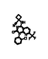 N#CC1(Nc2nc(=O)n(-c3ccccc3Cl)c3nc(C(F)(F)F)ccc23)CCC1